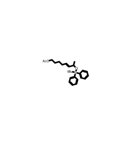 CC(=O)OCCCCC=CC(C)O[Si](c1ccccc1)(c1ccccc1)C(C)(C)C